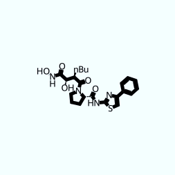 CCCC[C@@H](C(=O)N1CCC[C@H]1C(=O)Nc1nc(-c2ccccc2)cs1)[C@H](O)C(=O)NO